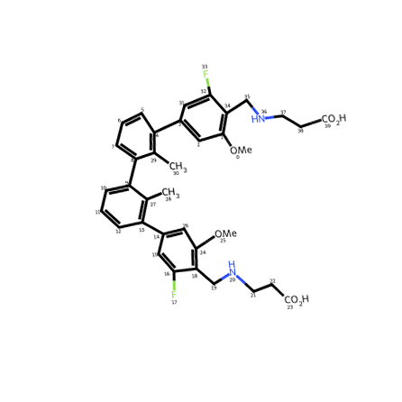 COc1cc(-c2cccc(-c3cccc(-c4cc(F)c(CNCCC(=O)O)c(OC)c4)c3C)c2C)cc(F)c1CNCCC(=O)O